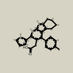 Cc1ccc(-c2c(CC(=O)O)c(-c3cccs3)nc3sc4c(c23)CCCC4)cc1